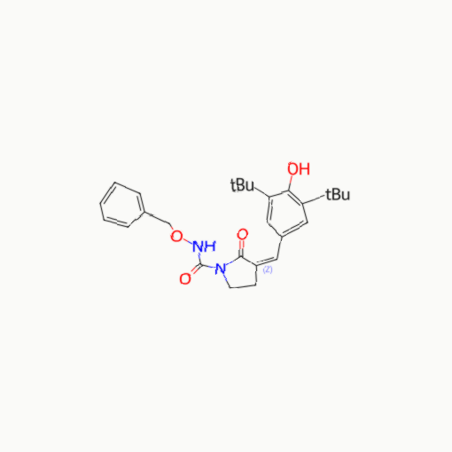 CC(C)(C)c1cc(/C=C2/CCN(C(=O)NOCc3ccccc3)C2=O)cc(C(C)(C)C)c1O